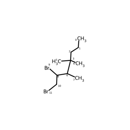 CCCC(C)(C)C(C)C(Br)CBr